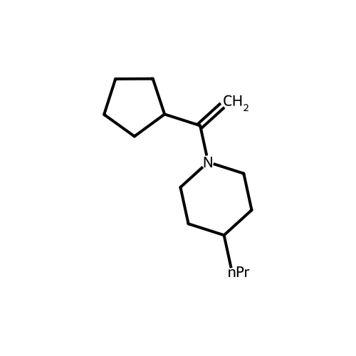 C=C(C1CCCC1)N1CCC(CCC)CC1